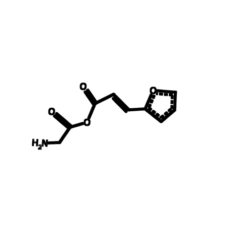 NCC(=O)OC(=O)C=Cc1ccco1